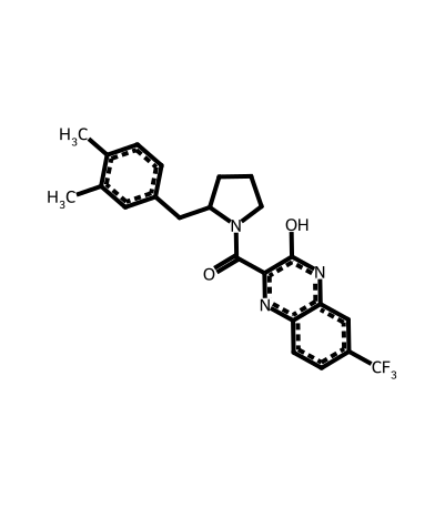 Cc1ccc(CC2CCCN2C(=O)c2nc3ccc(C(F)(F)F)cc3nc2O)cc1C